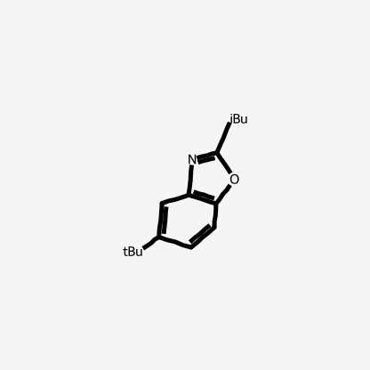 CCC(C)c1nc2cc(C(C)(C)C)ccc2o1